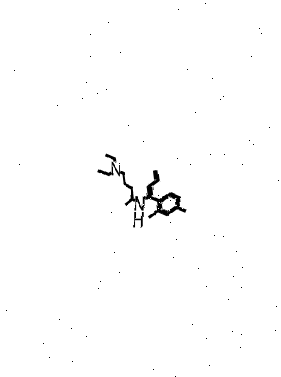 C=C/C=C(/NC(C)CCCN(CC)CC)c1ccc(C)cc1C